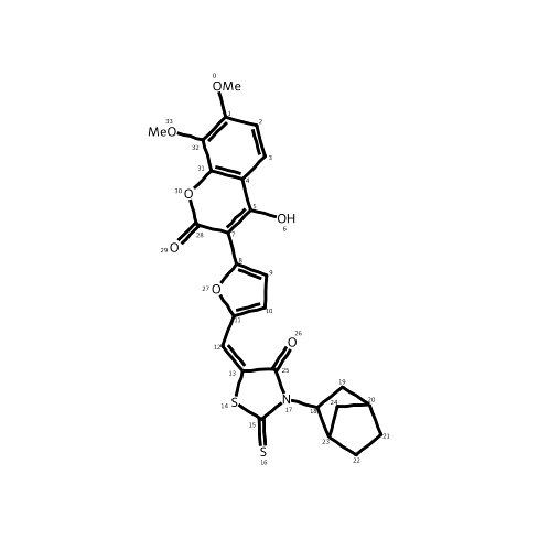 COc1ccc2c(O)c(-c3ccc(/C=C4/SC(=S)N(C5CC6CCC5C6)C4=O)o3)c(=O)oc2c1OC